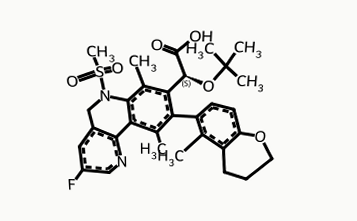 Cc1c(-c2c(C)c3c(c(C)c2[C@H](OC(C)(C)C)C(=O)O)N(S(C)(=O)=O)Cc2cc(F)cnc2-3)ccc2c1CCCO2